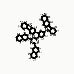 c1ccc2cc(-c3nc(-c4ccc5ccccc5c4)nc(-c4ccc(-n5c6ccccc6c6cc7ccccc7cc65)cc4-c4ccc5c(c4)sc4ccccc45)n3)ccc2c1